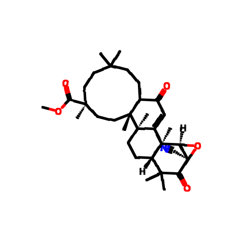 COC(=O)[C@@]1(C)CCC(C)(C)CCC2C(=O)C=C3[C@@]4(C)[C@H]5O[C@@]5(C#N)C(=O)C(C)(C)[C@@H]4CC[C@@]3(C)[C@]2(C)CC1